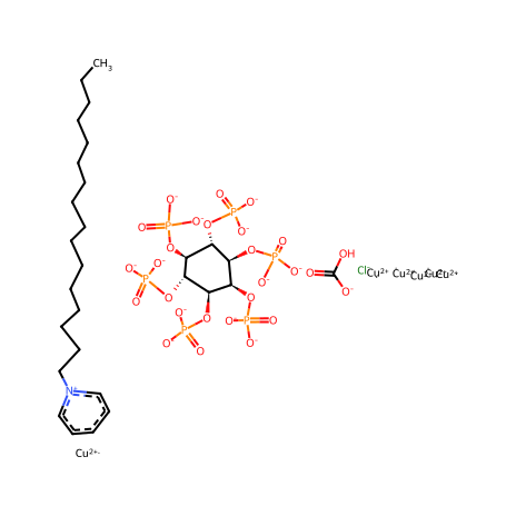 CCCCCCCCCCCCCCCC[n+]1ccccc1.O=C([O-])O.O=P([O-])([O-])O[C@H]1[C@H](OP(=O)([O-])[O-])[C@@H](OP(=O)([O-])[O-])[C@H](OP(=O)([O-])[O-])[C@@H](OP(=O)([O-])[O-])[C@H]1OP(=O)([O-])[O-].[Cl-].[Cu+2].[Cu+2].[Cu+2].[Cu+2].[Cu+2].[Cu+2]